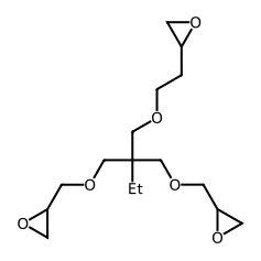 CCC(COCCC1CO1)(COCC1CO1)COCC1CO1